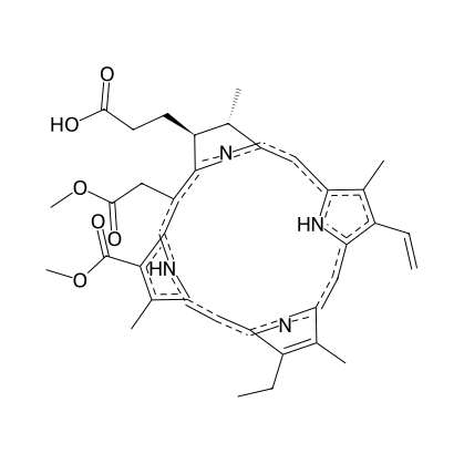 C=Cc1c(C)c2cc3nc(c(CC(=O)OC)c4[nH]c(cc5nc(cc1[nH]2)C(C)=C5CC)c(C)c4C(=O)OC)[C@@H](CCC(=O)O)[C@@H]3C